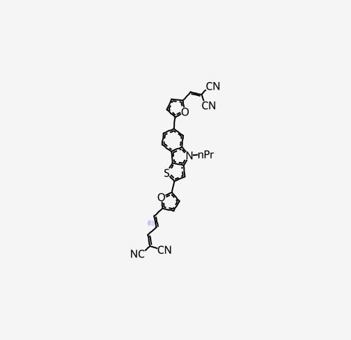 CCCn1c2cc(-c3ccc(C=C(C#N)C#N)o3)ccc2c2sc(-c3ccc(/C=C/C=C(C#N)C#N)o3)cc21